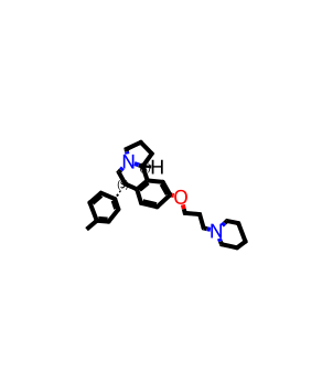 Cc1ccc([C@@H]2CN3CCC[C@@H]3c3cc(OCCCN4CCCCC4)ccc32)cc1